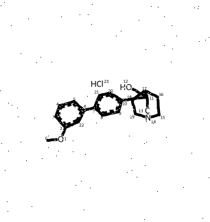 COc1cccc(-c2ccc(C3(O)CN4CCC3CC4)cc2)c1.Cl